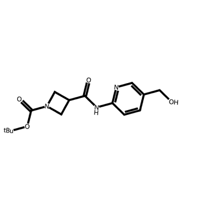 CC(C)(C)OC(=O)N1CC(C(=O)Nc2ccc(CO)cn2)C1